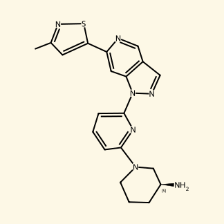 Cc1cc(-c2cc3c(cn2)cnn3-c2cccc(N3CCC[C@H](N)C3)n2)sn1